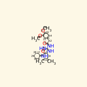 CCC(C)CC(NC(=N)NC(=O)Cc1ccc(OC)c(OC)c1)C(=O)NC1CCCCC1